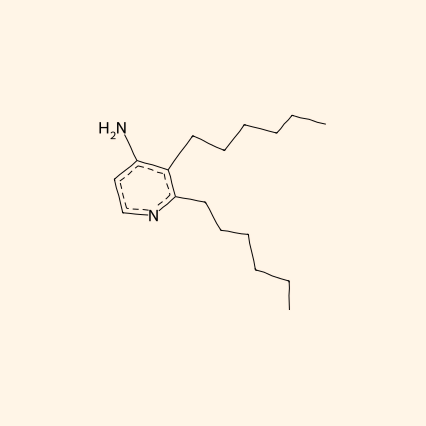 CCCCCCc1nccc(N)c1CCCCCC